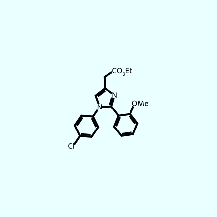 CCOC(=O)Cc1cn(-c2ccc(Cl)cc2)c(-c2ccccc2OC)n1